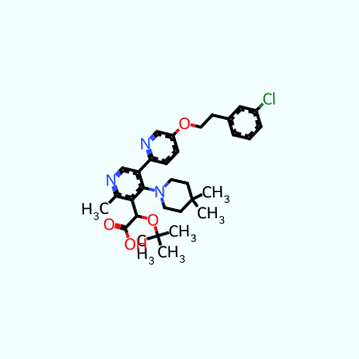 Cc1ncc(-c2ccc(OCCc3cccc(Cl)c3)cn2)c(N2CCC(C)(C)CC2)c1C(OC(C)(C)C)C(=O)O